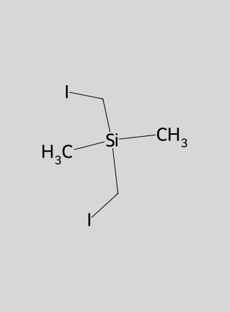 C[Si](C)(CI)CI